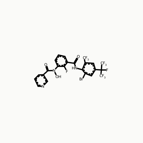 O=C(Nc1c(Br)cc(C(F)(C(F)(F)F)C(F)(F)F)cc1C(F)(F)F)c1cccc(N(O)C(=O)c2cccnc2)c1F